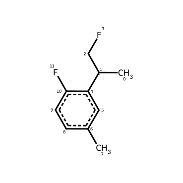 C[C](CF)c1cc(C)ccc1F